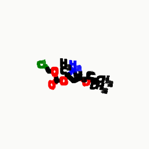 CC(C)(C)OCCC(C)(N)OC(=O)OCCl